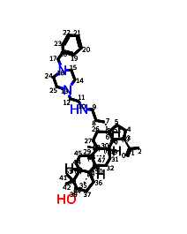 C=C(C)[C@@H]1CC[C@]2(CCCNCCN3CCN(Cc4ccccc4)CC3)CC[C@]3(C)[C@H](CC[C@@H]4[C@@]5(C)CC[C@H](O)C(C)(C)[C@@H]5CC[C@]43C)[C@@H]12